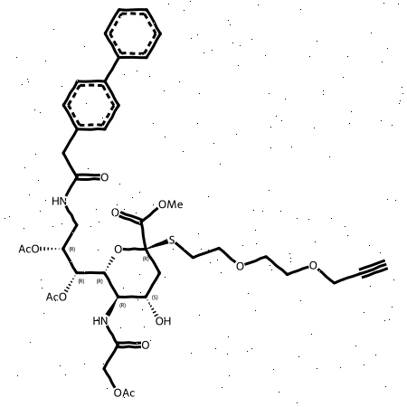 C#CCOCCOCCS[C@@]1(C(=O)OC)C[C@H](O)[C@@H](NC(=O)COC(C)=O)[C@H]([C@H](OC(C)=O)[C@@H](CNC(=O)Cc2ccc(-c3ccccc3)cc2)OC(C)=O)O1